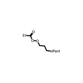 CCCCCCCCOOC(=O)CC